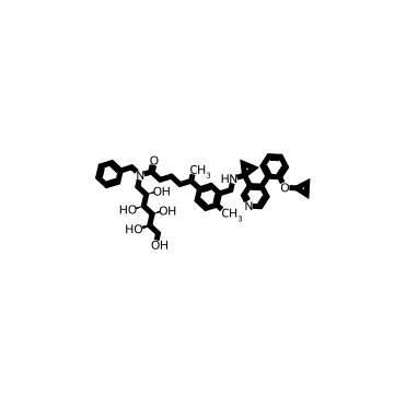 Cc1ccc(C(C)CCCC(=O)N(Cc2ccccc2)C[C@H](O)[C@@H](O)[C@H](O)[C@H](O)CO)cc1CNC1(c2cnccc2-c2ccccc2OC2CC2)CC1